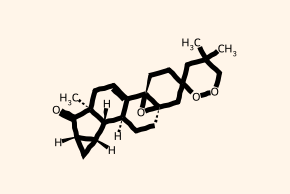 CC1(C)COOC2(CC[C@]34O[C@]3(CC[C@@H]3C4=CC[C@]4(C)C(=O)[C@H]5C[C@H]5[C@@H]34)C2)C1